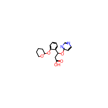 O=C(O)CC(Oc1ccncn1)c1ccccc1OC1CCCCO1